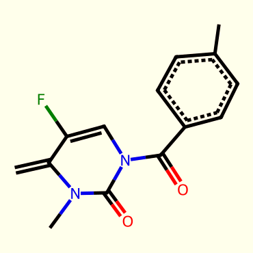 C=C1C(F)=CN(C(=O)c2ccc(C)cc2)C(=O)N1C